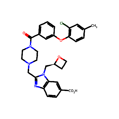 Cc1ccc(Oc2cccc(C(=O)N3CCN(Cc4nc5ccc(C(=O)O)cc5n4C[C@@H]4CCO4)CC3)c2)c(Cl)c1